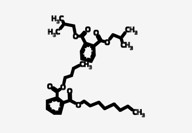 CC(C)COC(=O)c1ccccc1C(=O)OCC(C)C.CCCCCCCCOC(=O)c1ccccc1C(=O)OCCCC